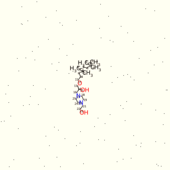 C[Si](C)(C)CC[Si](C)(C)CCCOCC(O)CN1CCN(CCO)CC1